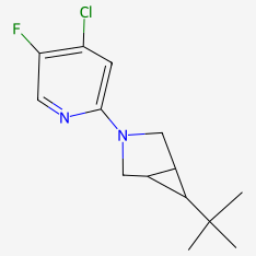 CC(C)(C)C1C2CN(c3cc(Cl)c(F)cn3)CC21